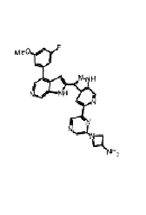 COc1cc(F)cc(-c2cncc3[nH]c(-c4n[nH]c5cnc(-c6cncc(N7CC(N)C7)n6)cc45)cc23)c1